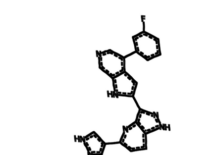 Fc1cccc(-c2cncc3[nH]c(-c4n[nH]c5ccc(-c6cn[nH]c6)nc45)cc23)c1